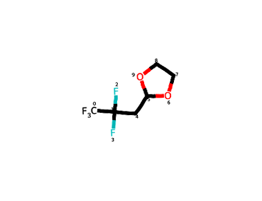 FC(F)(F)C(F)(F)CC1OCCO1